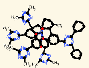 Cc1nc(C)nc(-c2ccc3c(c2)c2cc(-c4nc(C)nc(C)n4)ccc2n3-c2ccc(-c3nc(-c4ccccc4)nc(-c4ccccc4)n3)cc2-c2c(C#N)cccc2-n2c3ccc(-c4nc(C)nc(C)n4)cc3c3cc(-c4nc(C)nc(C)n4)ccc32)n1